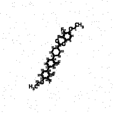 CCOc1ccc(OC(=O)C2CCC(c3ccc(-c4ccc(OCC)c(F)c4F)cc3F)CC2)c(F)c1F